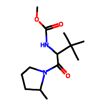 COC(=O)NC(C(=O)N1CCCC1C)C(C)(C)C